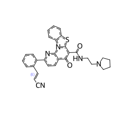 N#C/C=C/c1ccccc1-c1ccc2c(=O)c(C(=O)NCCN3CCCC3)c3sc4ccccc4n3c2n1